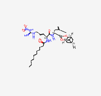 CCCCCCCCCCC(=O)N[C@@H](CCCNC(=N)N[N+](=O)[O-])C(=O)N[C@@H](CC(C)C)B1O[C@@H]2C[C@@H]3C[C@@H](C3(C)C)[C@]2(C)O1